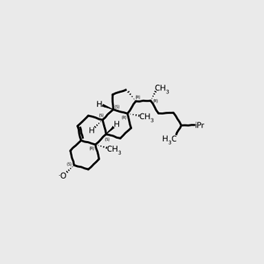 CC(C)C(C)CC[C@@H](C)[C@H]1CC[C@H]2[C@@H]3CC=C4C[C@@H]([O])CC[C@]4(C)[C@H]3CC[C@]12C